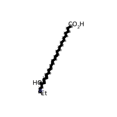 CC/C=C\CC(O)C=CC=CCC=CCC=CCC=CCCCCCCCCCCCCC(=O)O